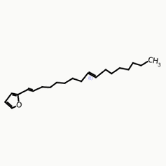 CCCCCCC/C=C/CCCCCCC=Cc1ccco1